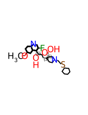 COc1ccc2ncc(F)c([C@@H](O)CC[C@H]3CCN(CCSC4CCCCC4)C[C@H]3C(=O)O)c2c1